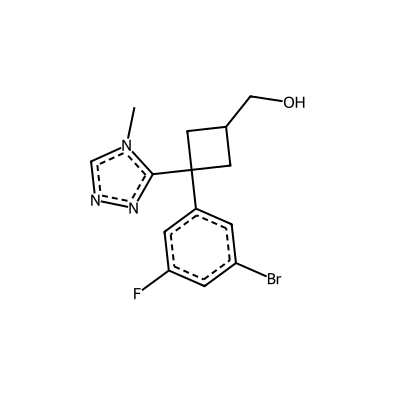 Cn1cnnc1C1(c2cc(F)cc(Br)c2)CC(CO)C1